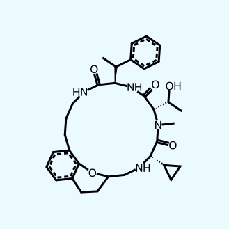 CC(O)[C@H]1C(=O)N[C@H](C(C)c2ccccc2)C(=O)NCCCc2cccc3c2OC(CC3)CN[C@@H](C2CC2)C(=O)N1C